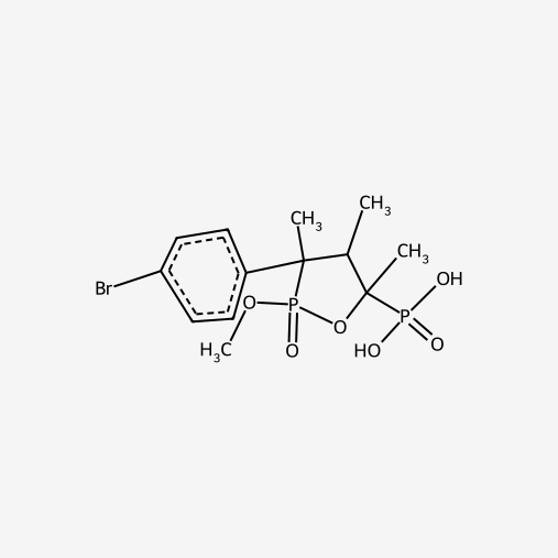 COP1(=O)OC(C)(P(=O)(O)O)C(C)C1(C)c1ccc(Br)cc1